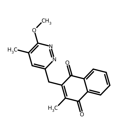 COc1nnc(CC2=C(C)C(=O)c3ccccc3C2=O)cc1C